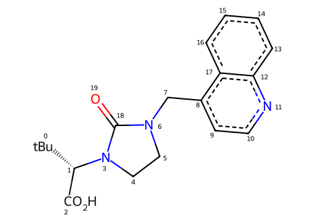 CC(C)(C)[C@@H](C(=O)O)N1CCN(Cc2ccnc3ccccc23)C1=O